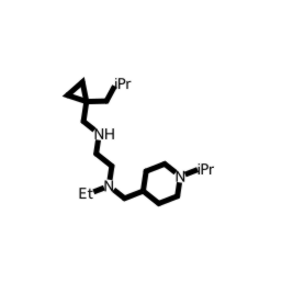 CCN(CCNCC1(CC(C)C)CC1)CC1CCN(C(C)C)CC1